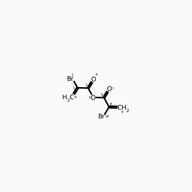 C=C(Br)C(=O)OC(=O)C(=C)Br